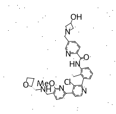 COc1nc(-c2ccnc(-c3cccc(NC(=O)c4ccc(CN5CC(O)C5)cn4)c3C)c2Cl)ccc1CNC[C@H]1CCO1